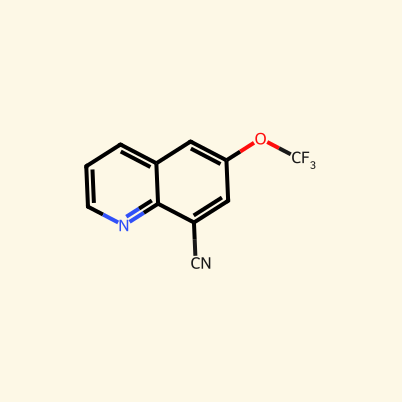 N#Cc1cc(OC(F)(F)F)cc2cccnc12